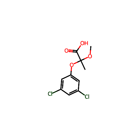 COC(C)(Oc1cc(Cl)cc(Cl)c1)C(=O)O